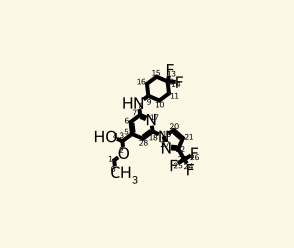 CCOC(O)c1cc(NC2CCC(F)(F)CC2)nc(-n2ccc(C(F)(F)F)n2)c1